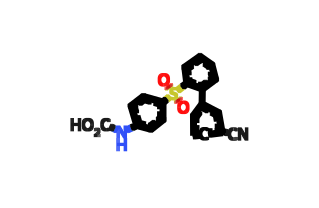 N#Cc1cccc(-c2ccccc2S(=O)(=O)c2ccc(NC(=O)O)cc2)c1